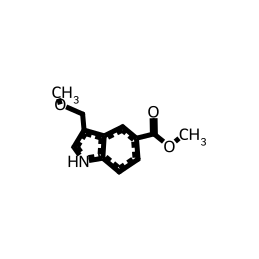 COCc1c[nH]c2ccc(C(=O)OC)cc12